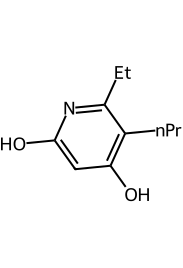 CCCc1c(O)cc(O)nc1CC